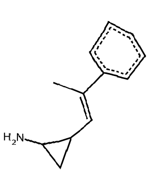 CC(=CC1CC1N)c1ccccc1